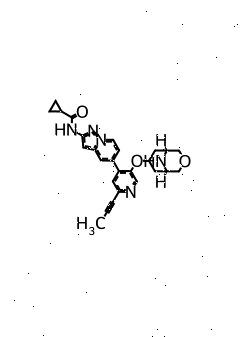 CC#Cc1cc(-c2ccn3nc(NC(=O)C4CC4)cc3c2)c(OC2C[C@H]3COC[C@@H](C2)N3)cn1